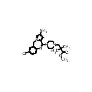 Bc1cc2n(c1)Cc1cc(Cl)ccc1N=C2N1CCN(CC(C)(C)C(=O)OC)CC1